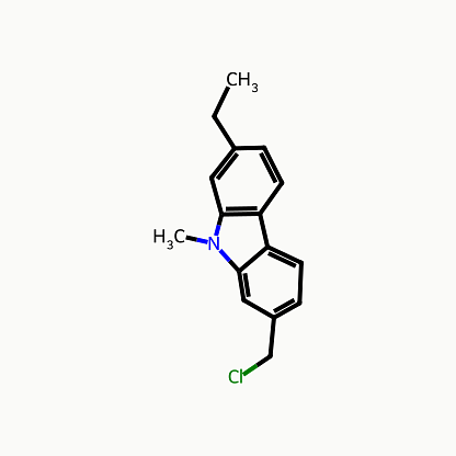 CCc1ccc2c3ccc(CCl)cc3n(C)c2c1